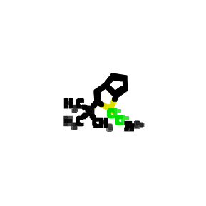 C[Si](C)(C)C1=CC2C=CC=C2S1.[Cl-].[Cl-].[Zr+2]